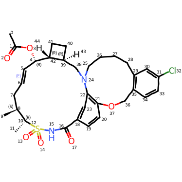 CC(=O)O[C@H]1/C=C/C[C@H](C)[C@@H](C)S(=O)(=O)NC(=O)c2ccc3c(c2)N(CCCCc2cc(Cl)ccc2CO3)C[C@@H]2CC[C@H]21